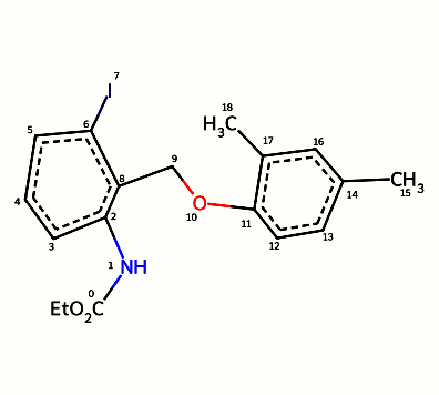 CCOC(=O)Nc1cccc(I)c1COc1ccc(C)cc1C